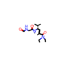 CCN(CC)C(=O)/C(C)=C/[C@H](C(C)C)N(C)C(=O)CNC=O